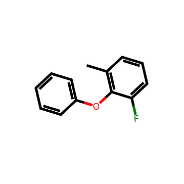 Cc1cccc(F)c1Oc1ccccc1